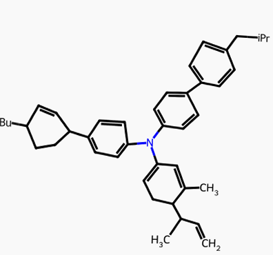 C=CC(C)C1CC=C(N(c2ccc(-c3ccc(CC(C)C)cc3)cc2)c2ccc(C3C=CC(C(C)(C)C)CC3)cc2)C=C1C